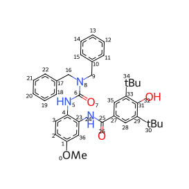 COc1ccc(NC(=O)N(Cc2ccccc2)Cc2ccccc2)c(NC(=O)c2cc(C(C)(C)C)c(O)c(C(C)(C)C)c2)c1